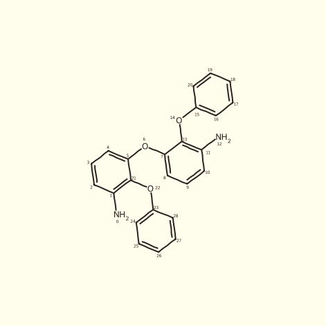 Nc1cccc(Oc2cccc(N)c2Oc2ccccc2)c1Oc1ccccc1